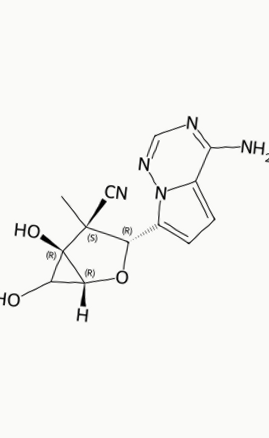 C[C@]1(C#N)[C@H](c2ccc3c(N)ncnn23)O[C@@H]2C(O)[C@@]21O